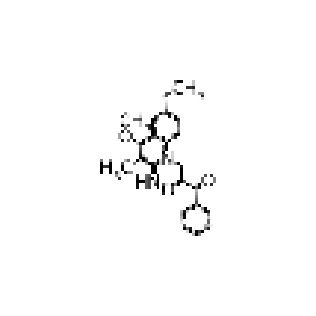 CCc1ccc2c(c1)c(OC)c(C)c(=N)n2CC(=O)C(=O)c1ccccc1